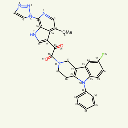 COc1cnc(-n2ccnn2)c2[nH]cc(C(=O)C(=O)N3CCc4c(c5cc(F)ccc5n4-c4ccccc4)C3)c12